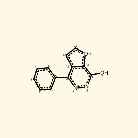 Oc1nnc(-c2ccccc2)c2ccoc12